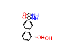 CO.CO.N=C=O.N=C=O.c1ccccc1.c1ccccc1